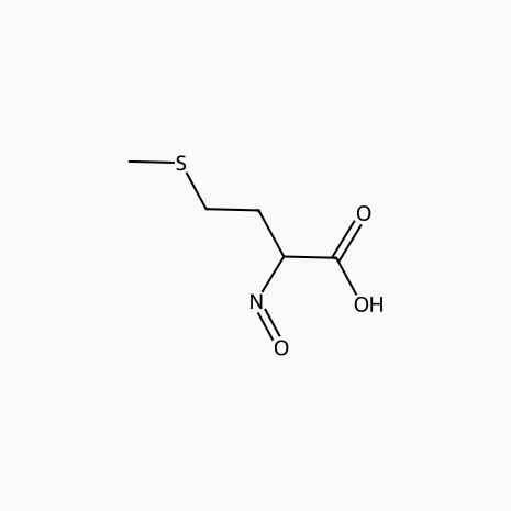 CSCCC(N=O)C(=O)O